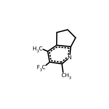 Cc1nc2c(c(C)c1C(F)(F)F)CCC2